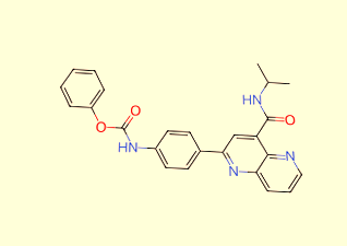 CC(C)NC(=O)c1cc(-c2ccc(NC(=O)Oc3ccccc3)cc2)nc2cccnc12